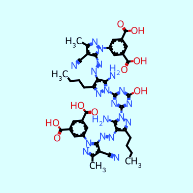 CCCCc1nn(-c2nc(O)nc(-n3nc(CCCC)c(N=Nc4c(C#N)c(C)nn4-c4cc(C(=O)O)cc(C(=O)O)c4)c3N)n2)c(N)c1N=Nc1c(C#N)c(C)nn1-c1cc(C(=O)O)cc(C(=O)O)c1